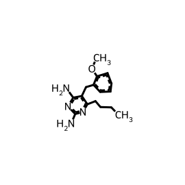 CCCCc1nc(N)nc(N)c1Cc1ccccc1OC